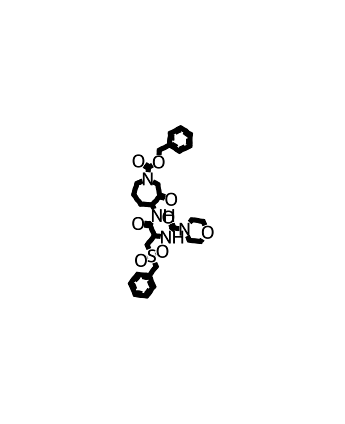 O=C1CN(C(=O)OCc2ccccc2)CCCC1NC(=O)C(CS(=O)(=O)Cc1ccccc1)NC(=O)N1CCOCC1